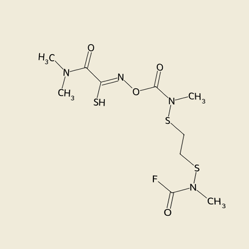 CN(C)C(=O)C(S)=NOC(=O)N(C)SCCSN(C)C(=O)F